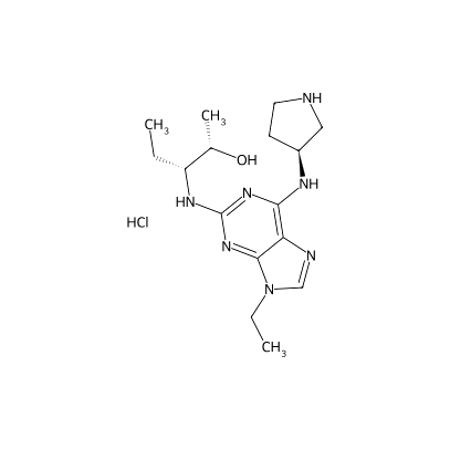 CC[C@@H](Nc1nc(N[C@H]2CCNC2)c2ncn(CC)c2n1)[C@H](C)O.Cl